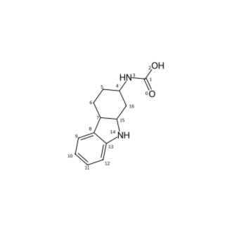 O=C(O)NC1CCC2c3ccccc3NC2C1